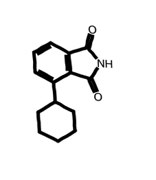 O=C1NC(=O)c2c1cccc2C1CCCCC1